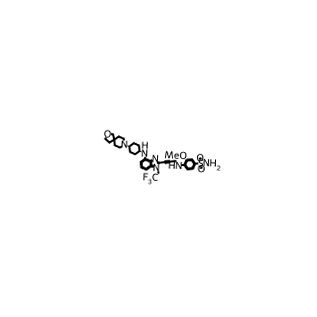 COc1cc(S(N)(=O)=O)ccc1NCC#Cc1nc2c(N[C@H]3CC[C@@H](N4CCC5(CCOC5)CC4)CC3)cccc2n1CC(F)(F)F